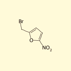 O=[N+]([O-])c1ccc(CBr)o1